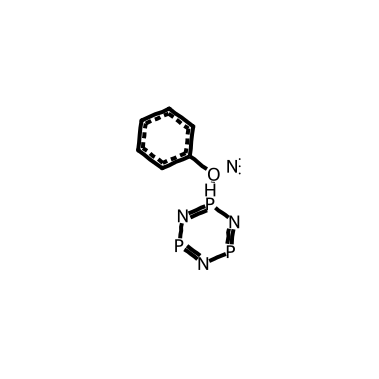 [N].c1ccc(O[PH]2=NP=NP=N2)cc1